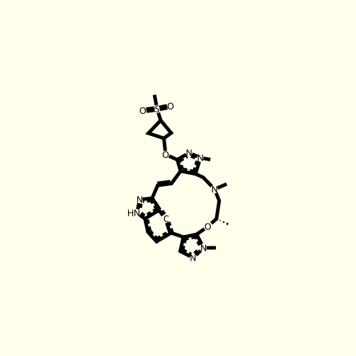 C[C@H]1CN(C)Cc2c(c(OC3CC(S(C)(=O)=O)C3)nn2C)/C=C/c2n[nH]c3ccc(cc23)-c2cnn(C)c2O1